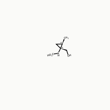 C[C@@H]1C[C@@]1(CO)NC(=O)O